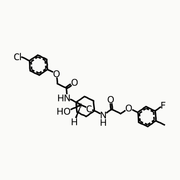 Cc1ccc(OCC(=O)NC23CCC(NC(=O)COc4ccc(Cl)cc4)(CC2)[C@@H](O)C3)cc1F